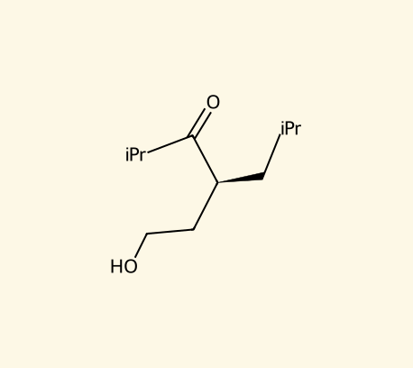 CC(C)C[C@@H](CCO)C(=O)C(C)C